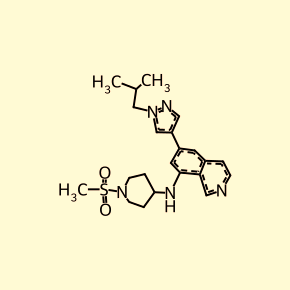 CC(C)Cn1cc(-c2cc(NC3CCN(S(C)(=O)=O)CC3)c3cnccc3c2)cn1